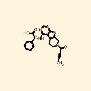 CC#CC(=O)N1CCc2c(sc3ncnc(N[C@H](C(=O)O)c4ccccc4)c23)C1